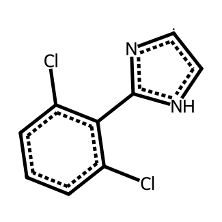 Clc1cccc(Cl)c1-c1n[c]c[nH]1